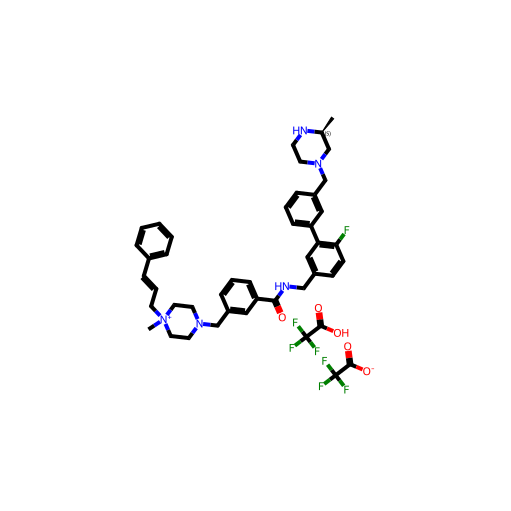 C[C@H]1CN(Cc2cccc(-c3cc(CNC(=O)c4cccc(CN5CC[N+](C)(CC=Cc6ccccc6)CC5)c4)ccc3F)c2)CCN1.O=C(O)C(F)(F)F.O=C([O-])C(F)(F)F